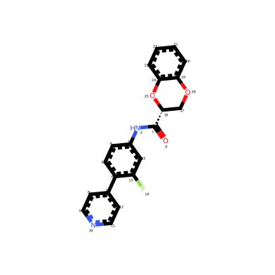 O=C(Nc1ccc(-c2ccncc2)c(F)c1)[C@H]1COc2ccccc2O1